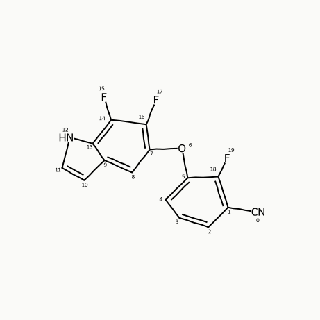 N#Cc1cccc(Oc2cc3cc[nH]c3c(F)c2F)c1F